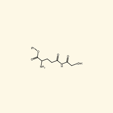 CCCCCCCCCCCC(=O)NC(=O)CCC(N)C(=O)OC(C)C